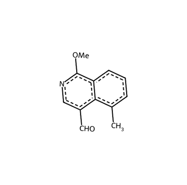 COc1ncc(C=O)c2c(C)cccc12